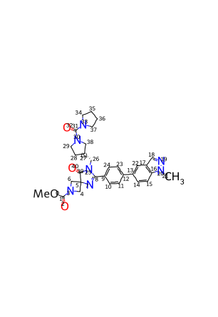 COC(=O)N1CC2(C1)N=C(c1ccc(-c3ccc4c(cnn4C)c3)cc1)N(C[C@@H]1CCN(C(=O)N3CCCC3)C1)C2=O